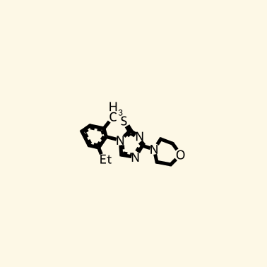 CCc1cccc(C)c1-n1cnc(N2CCOCC2)nc1=S